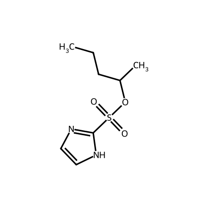 CCCC(C)OS(=O)(=O)c1ncc[nH]1